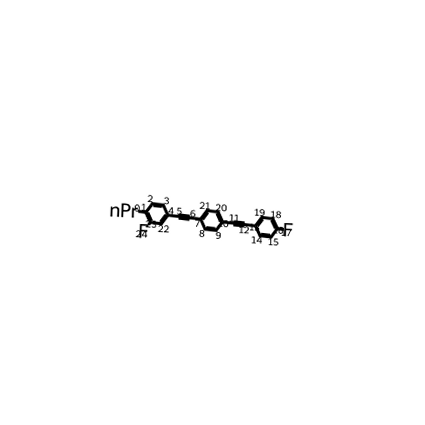 CCCc1ccc(C#Cc2ccc(C#Cc3ccc(F)cc3)cc2)cc1F